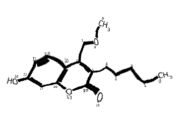 CCCCCc1c(COC)c2ccc(O)cc2oc1=O